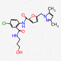 Cc1cc(C)n(Cc2ccc(C(=O)Nc3ccc(Cl)cc3C(=O)NCCCO)o2)n1